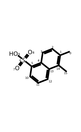 Cc1ccc2c(S(=O)(=O)O)cccc2c1C